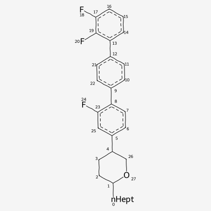 CCCCCCCC1CCC(c2ccc(-c3ccc(-c4cccc(F)c4F)cc3)c(F)c2)CO1